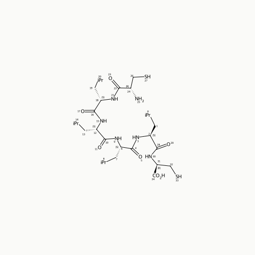 CC(C)C[C@H](NC(=O)[C@H](CC(C)C)NC(=O)[C@H](CC(C)C)NC(=O)[C@H](CC(C)C)NC(=O)[C@@H](N)CS)C(=O)N[C@@H](CS)C(=O)O